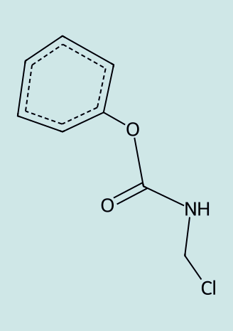 O=C(NCCl)Oc1ccccc1